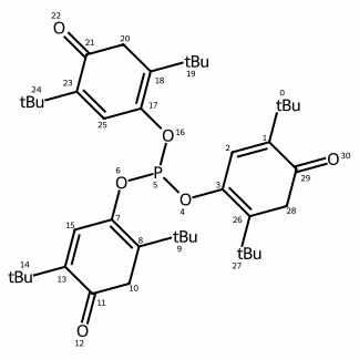 CC(C)(C)C1=CC(OP(OC2=C(C(C)(C)C)CC(=O)C(C(C)(C)C)=C2)OC2=C(C(C)(C)C)CC(=O)C(C(C)(C)C)=C2)=C(C(C)(C)C)CC1=O